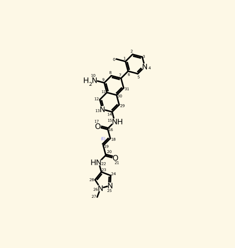 Cc1ccncc1-c1cc(N)c2cnc(NC(=O)/C=C/C(=O)Nc3cnn(C)c3)cc2c1